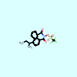 CCC(C)c1ccc2c3c(cccc13)C(=O)N(OS(=O)(=O)C(F)(F)F)C2=O